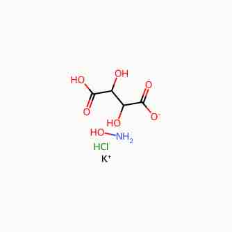 Cl.NO.O=C([O-])C(O)C(O)C(=O)O.[K+]